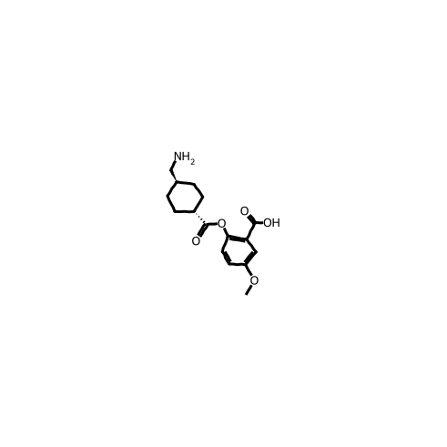 COc1ccc(OC(=O)[C@H]2CC[C@H](CN)CC2)c(C(=O)O)c1